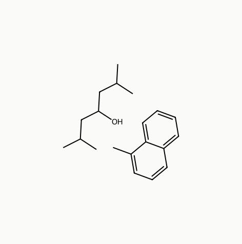 CC(C)CC(O)CC(C)C.Cc1cccc2ccccc12